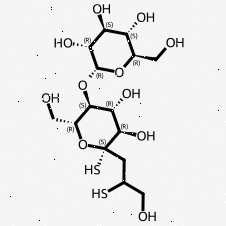 OCC(S)C[C@@]1(S)O[C@H](CO)[C@@H](O[C@H]2O[C@H](CO)[C@@H](O)[C@H](O)[C@H]2O)[C@H](O)[C@H]1O